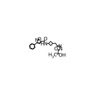 C[C@@H](O)c1nnc(CC2CC(NC(=O)c3cc(-c4ccccc4)no3)C2)o1